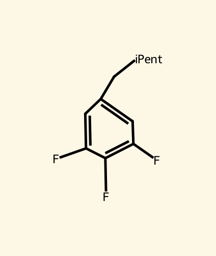 CCCC(C)Cc1cc(F)c(F)c(F)c1